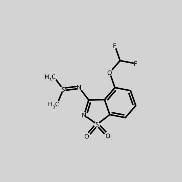 CS(C)=NC1=NS(=O)(=O)c2cccc(OC(F)F)c21